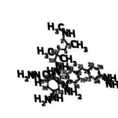 CNCC(C)CCC(C)(C)CNNCC1(N(N)c2ccc(Cc3ccc(NN)cc3)cc2)CC(NN)CC(C)(CNN)C1